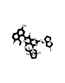 CCc1c(F)ccc2cc(O)cc(-c3nc4c5c(nc(OC[C@]67CCCN6C[C@H](F)C7)nc5c3F)N3C[C@H]5CC[C@H](N5)[C@H]3CO4)c12